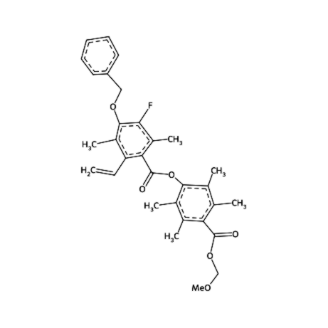 C=Cc1c(C)c(OCc2ccccc2)c(F)c(C)c1C(=O)Oc1c(C)c(C)c(C(=O)OCOC)c(C)c1C